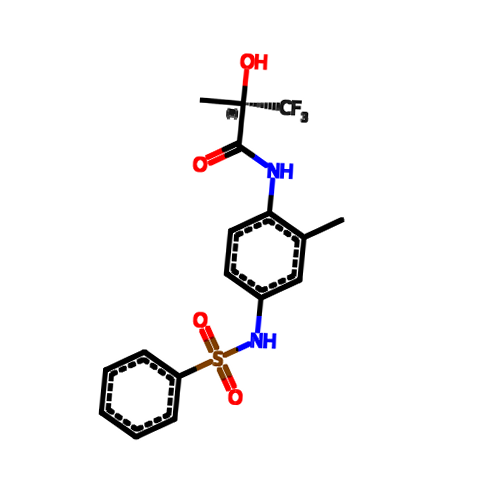 Cc1cc(NS(=O)(=O)c2ccccc2)ccc1NC(=O)[C@@](C)(O)C(F)(F)F